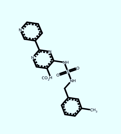 Cc1cccc(CNS(=O)(=O)Nc2nc(-c3cccnc3)ncc2C(=O)O)c1